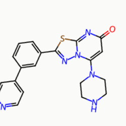 O=c1cc(N2CCNCC2)n2nc(-c3cccc(-c4ccncc4)c3)sc2n1